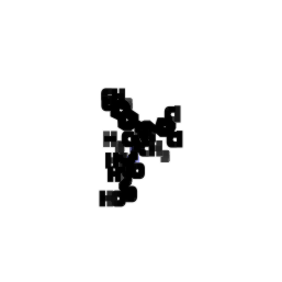 COc1ccc2cc(-c3cc(-c4cc(Cl)cc(Cl)c4)nn3C(C)/C(C)=C/C=C(\S)C(=O)NCCC(=O)O)ccc2c1